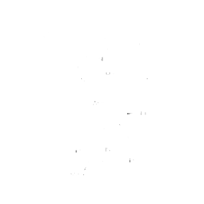 CC[C@H](C)C([C@@H](CC(=O)N1CCC[C@H]1[C@H](OC)[C@@H](C)C(=O)N[C@H](C(=O)N1CCCCO1)[C@@H](C)c1ccccc1)OC)N(C)C(=O)[C@@H](NC(=O)[C@@H](NC)C(C)C)C(C)C